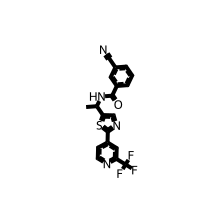 CC(NC(=O)c1cccc(C#N)c1)c1cnc(-c2ccnc(C(F)(F)F)c2)s1